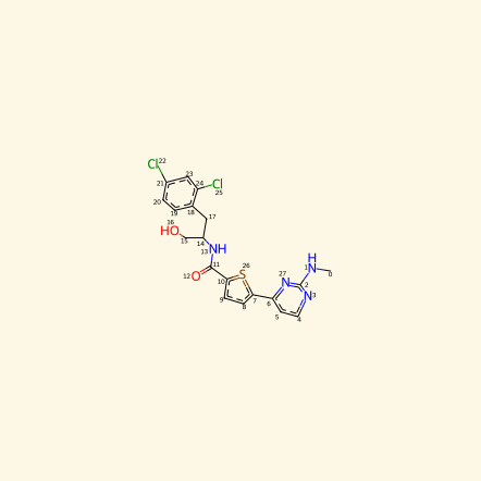 CNc1nccc(-c2ccc(C(=O)NC(CO)Cc3ccc(Cl)cc3Cl)s2)n1